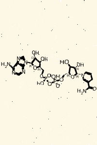 NC(=O)C1=CN([C@@H]2O[C@H](COP(=O)(O)OP(=O)(O)OC[C@H]3O[C@@H](n4cnc5c(N)ncnc54)[C@@H](O)C3O)C(O)[C@@H]2O)C=CC1